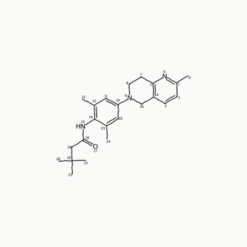 Cc1ccc2c(n1)CCN(c1cc(C)c(NC(=O)CC(C)(C)C)c(C)c1)C2